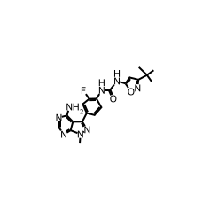 Cn1nc(-c2ccc(NC(=O)Nc3cc(C(C)(C)C)no3)c(F)c2)c2c(N)ncnc21